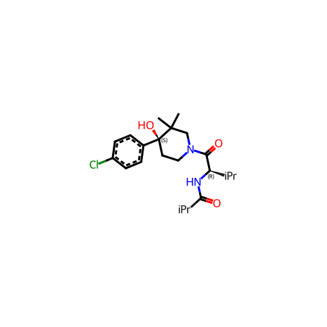 CC(C)C(=O)N[C@@H](C(=O)N1CC[C@](O)(c2ccc(Cl)cc2)C(C)(C)C1)C(C)C